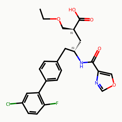 CCOC[C@H](C[C@@H](Cc1ccc(-c2cc(Cl)ccc2F)cc1)NC(=O)c1cocn1)C(=O)O